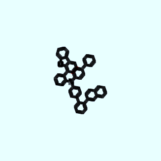 c1ccc(-c2ccc(N(c3ccc(-c4ccccc4-c4ccc5ccccc5c4)cc3)c3ccccc3-c3cccc4c3oc3ccccc34)cc2)cc1